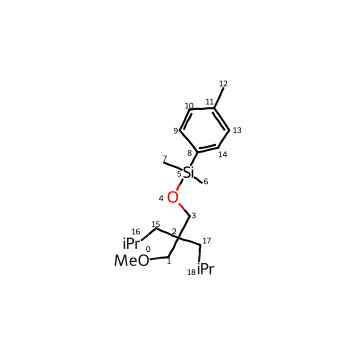 COCC(CO[Si](C)(C)c1ccc(C)cc1)(CC(C)C)CC(C)C